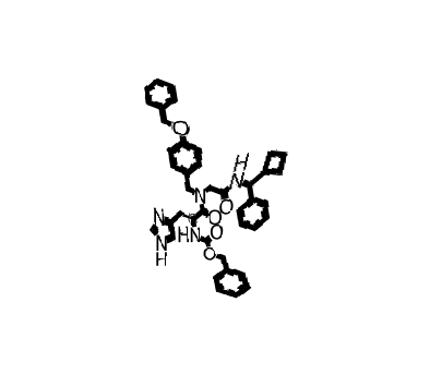 O=C(CN(Cc1ccc(OCc2ccccc2)cc1)C(=O)[C@H](Cc1c[nH]cn1)NC(=O)OCc1ccccc1)NC(c1ccccc1)C1CCC1